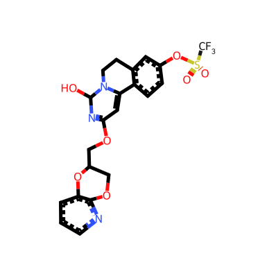 O=S(=O)(Oc1ccc2c(c1)CCN1C2=CC(OCC2COc3ncccc3O2)=NC1O)C(F)(F)F